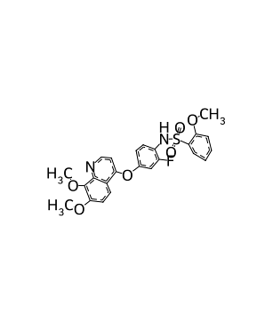 COc1ccccc1S(=O)(=O)Nc1ccc(Oc2ccnc3c(OC)c(OC)ccc23)cc1F